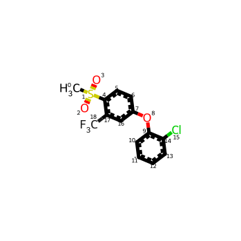 CS(=O)(=O)c1ccc(Oc2c[c]ccc2Cl)cc1C(F)(F)F